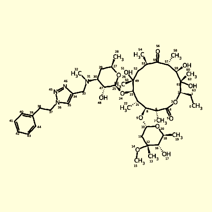 CC[C@H]1OC(=O)[C@H](C)[C@@H](O[C@H]2C[C@@](C)(OC)[C@@H](O)[C@H](C)O2)[C@H](C)[C@@H](O[C@@H]2O[C@H](C)C[C@H](N(C)Cc3cn(CCc4ccccc4)nn3)[C@H]2O)[C@](C)(O)C[C@@H](C)C(=O)[C@H](C)[C@@H](O)[C@]1(C)O